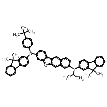 CC(C)N(c1ccc2c(c1)C(C)(C)c1ccccc1-2)c1ccc2cc3c(cc2c1)oc1cc(N(c2ccc(C(C)(C)C)cc2)c2ccc4c(c2)C(C)(C)c2ccccc2-4)ccc13